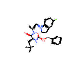 C[C@@H](CN1CCc2cc(F)ccc21)NC(=O)C(CC(C)(C)C)NC(=O)OCc1ccccc1